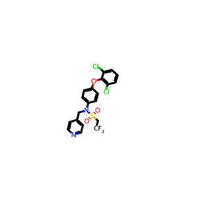 O=S(=O)(CC(F)(F)F)N(Cc1ccncc1)c1ccc(Oc2c(Cl)cccc2Cl)cc1